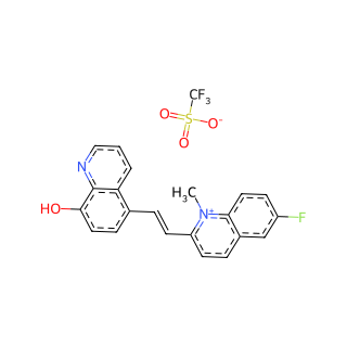 C[n+]1c(C=Cc2ccc(O)c3ncccc23)ccc2cc(F)ccc21.O=S(=O)([O-])C(F)(F)F